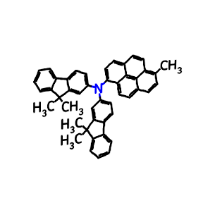 Cc1ccc2ccc3c(N(c4ccc5c(c4)C(C)(C)c4ccccc4-5)c4ccc5c(c4)C(C)(C)c4ccccc4-5)ccc4ccc1c2c43